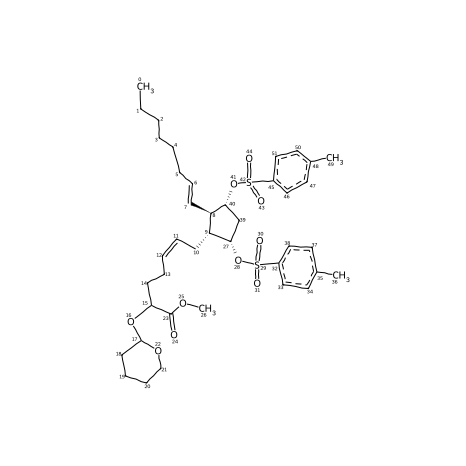 CCCCCC/C=C/[C@@H]1[C@@H](C/C=C\CCC(OC2CCCCO2)C(=O)OC)[C@@H](OS(=O)(=O)c2ccc(C)cc2)C[C@H]1OS(=O)(=O)c1ccc(C)cc1